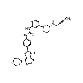 CC#CCN[C@@H]1CCCN(c2ccnc(NC(=O)Nc3ccc(-c4cc5c(N6CCOCC6)ncnc5[nH]4)cc3)c2)C1